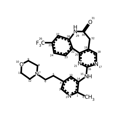 Cc1ncc(CCN2CCOCC2)cc1Nc1ncc2c(n1)-c1ccc(C(F)(F)F)cc1NC(=O)C2